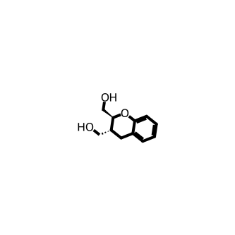 OC[C@H]1Cc2ccccc2O[C@@H]1CO